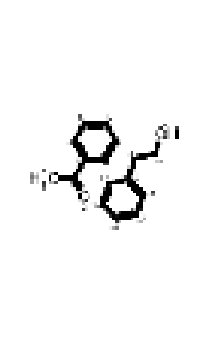 CC(=O)c1ccccc1.OCCc1ccccc1